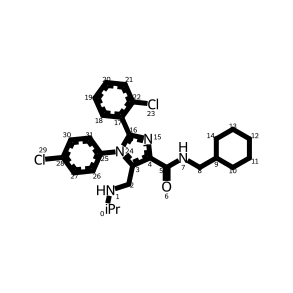 CC(C)NCc1c(C(=O)NCC2CCCCC2)nc(-c2ccccc2Cl)n1-c1ccc(Cl)cc1